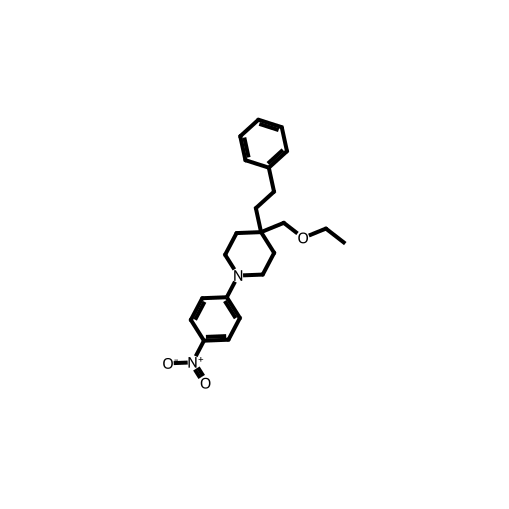 CCOCC1(CCc2ccccc2)CCN(c2ccc([N+](=O)[O-])cc2)CC1